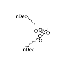 CCCCCCCCCCCCCCCCCC(=O)OCC1(COC(=O)CCCCCCCCCCCCCCCCC)COC(C)=N1